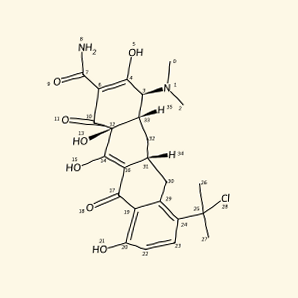 CN(C)[C@@H]1C(O)=C(C(N)=O)C(=O)[C@@]2(O)C(O)=C3C(=O)c4c(O)ccc(C(C)(C)Cl)c4C[C@H]3C[C@@H]12